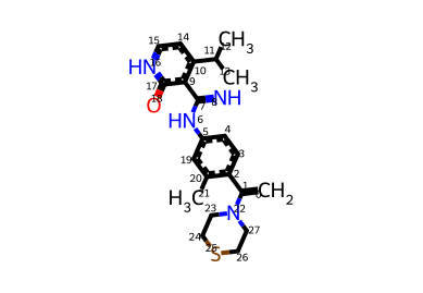 C=C(c1ccc(NC(=N)c2c(C(C)C)cc[nH]c2=O)cc1C)N1CCSCC1